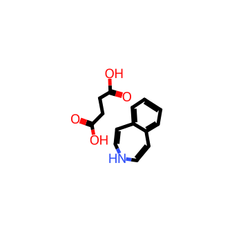 C1=Cc2ccccc2C=CN1.O=C(O)CCC(=O)O